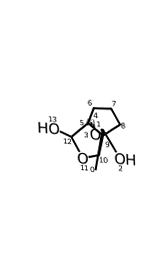 CC1(O)OC[C@]23CCCC12COC3O